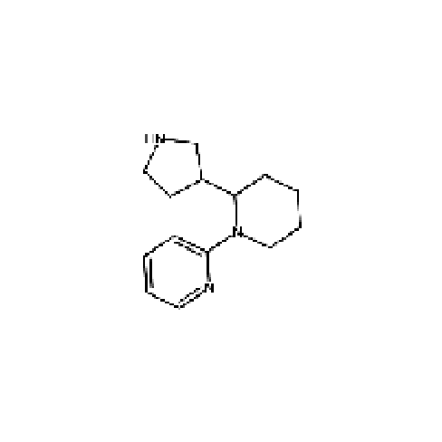 [c]1ccc(N2CCCCC2C2CCNC2)nc1